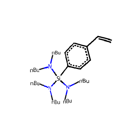 C=Cc1ccc([Si](N(CCCC)CCCC)(N(CCCC)CCCC)N(CCCC)CCCC)cc1